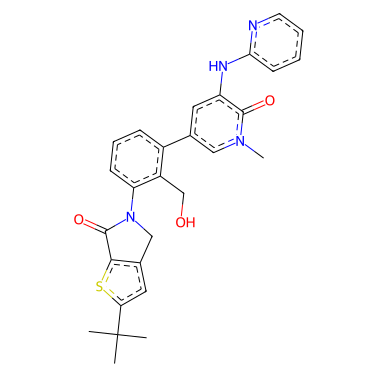 Cn1cc(-c2cccc(N3Cc4cc(C(C)(C)C)sc4C3=O)c2CO)cc(Nc2ccccn2)c1=O